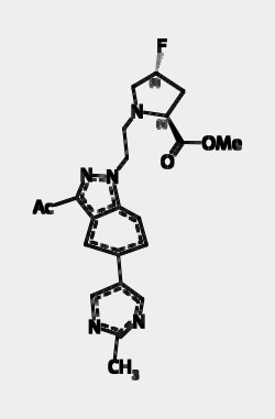 COC(=O)[C@@H]1C[C@@H](F)CN1CCn1nc(C(C)=O)c2cc(-c3cnc(C)nc3)ccc21